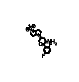 CS(=O)(=O)N1CCC2C1CCN2[C@H]1CO[C@H](c2cc(F)ccc2F)[C@@H](N)C1